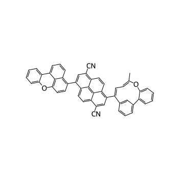 C/C1=C\C=C(\c2cc(C#N)c3ccc4c(-c5ccc6c7c(cccc57)-c5ccccc5O6)cc(C#N)c5ccc2c3c54)c2cccc(c2)-c2ccccc2O1